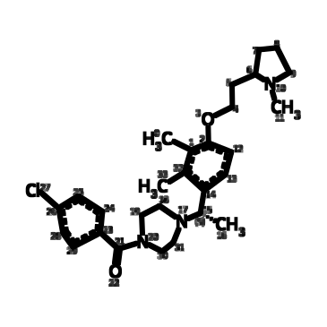 Cc1c(OCCC2CCCN2C)ccc([C@H](C)N2CCN(C(=O)c3ccc(Cl)cc3)CC2)c1C